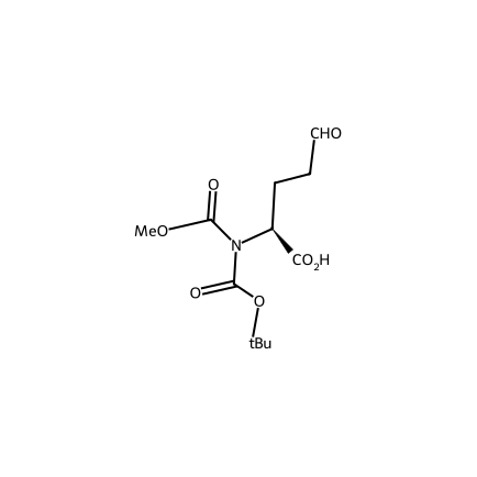 COC(=O)N(C(=O)OC(C)(C)C)[C@@H](CCC=O)C(=O)O